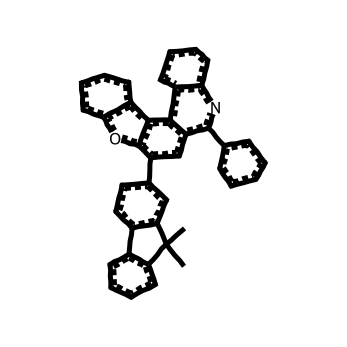 CC1(C)c2ccccc2-c2ccc(-c3cc4c(-c5ccccc5)nc5ccccc5c4c4c3oc3ccccc34)cc21